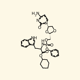 Nc1ccn([C@@H]2CO[C@H](COP(=O)(NC(Cc3c[nH]c4ccccc34)C(=O)OC3CCCCC3)Oc3ccccc3)O2)c(=O)n1